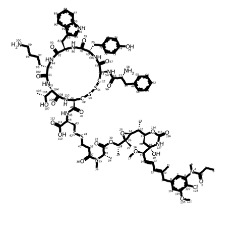 CCC(=O)N(C)c1cc(C/C(C)=C/C=C/[C@@H](OC)[C@@]2(O)C[C@@H]([C@@H](C)[C@@H]3O[C@@]3(C)[C@H](C)OC(=O)[C@H](C)N(C)C(=O)CCSSC[C@H](NC(=O)[C@@H]3CSSC[C@H](NC(=O)[C@H](N)Cc4ccccc4)C(=O)N[C@@H](Cc4ccc(O)cc4)C(=O)N[C@H](Cc4c[nH]c5ccccc45)C(=O)N[C@@H](CCCCN)C(=O)N[C@@H]([C@@H](C)O)C(=O)N3)C(=O)O)OC(=O)N2)cc(OC)c1Cl